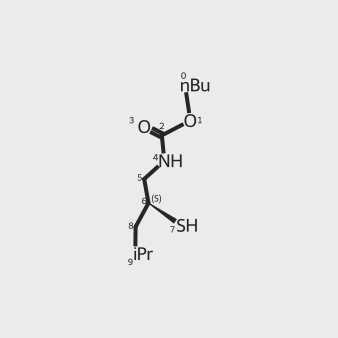 CCCCOC(=O)NC[C@@H](S)CC(C)C